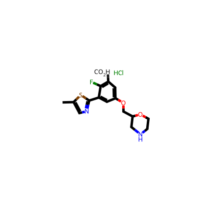 Cc1cnc(-c2cc(OCC3CNCCO3)cc(C(=O)O)c2F)s1.Cl